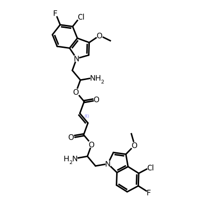 COc1cn(CC(N)OC(=O)/C=C/C(=O)OC(N)Cn2cc(OC)c3c(Cl)c(F)ccc32)c2ccc(F)c(Cl)c12